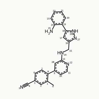 Cc1cc(C#N)ccc1-c1ccnc(NCc2cc(-c3ccccc3N)[nH]n2)c1